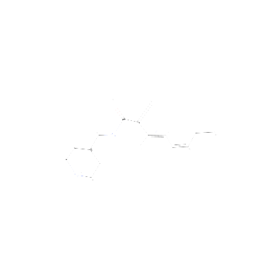 C=C(C(=O)NCC1CCNCC1)/C(C)=C/C=C\CC